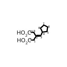 O=C(O)CC(=CC1CCCC1)CC(=O)O